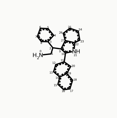 NCC(c1ccccc1)c1c(-c2ccc3ccccc3c2)[nH]c2ccccc12